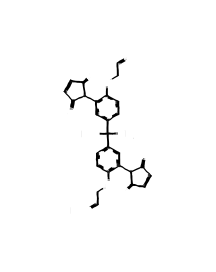 C=CCOc1ccc(C(c2ccc(OCC=C)c(C3C(=O)C=CC3=O)c2)(C(F)(F)F)C(F)(F)F)cc1C1C(=O)C=CC1=O